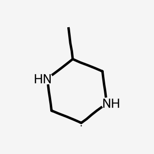 CC1CN[CH]CN1